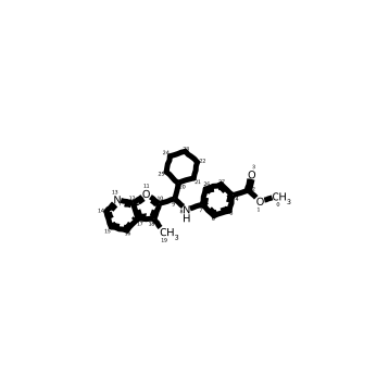 COC(=O)c1ccc(NC(c2oc3ncccc3c2C)C2CCCCC2)cc1